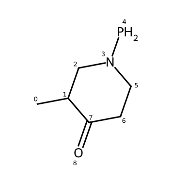 CC1CN(P)CCC1=O